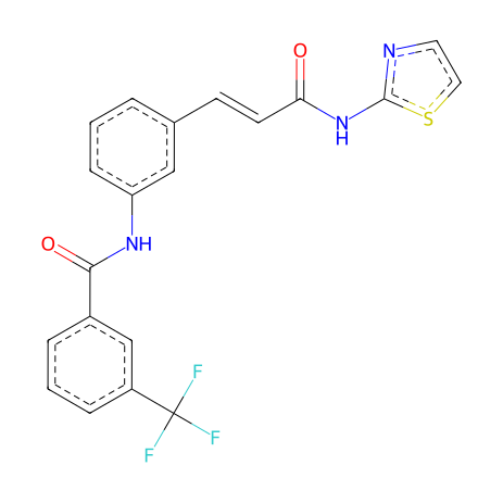 O=C(C=Cc1cccc(NC(=O)c2cccc(C(F)(F)F)c2)c1)Nc1nccs1